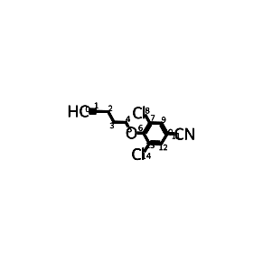 C#CCCCOc1c(Cl)cc(C#N)cc1Cl